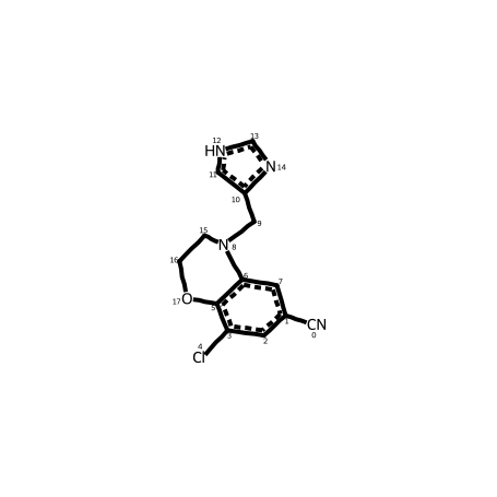 N#Cc1cc(Cl)c2c(c1)N(Cc1c[nH]cn1)CCO2